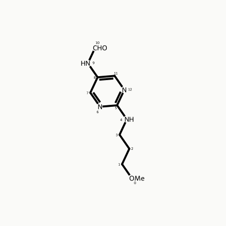 COCCCNc1ncc(NC=O)cn1